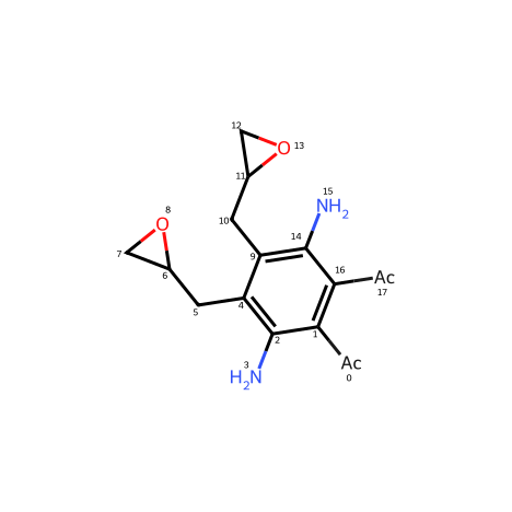 CC(=O)c1c(N)c(CC2CO2)c(CC2CO2)c(N)c1C(C)=O